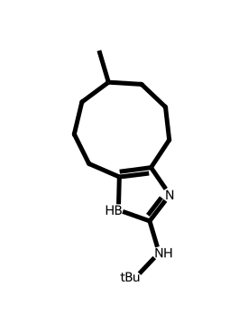 CC1CCCC2=C(CCC1)N=C(NC(C)(C)C)B2